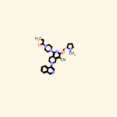 C=CC(=O)N1CCN(c2nc(OC[C@@H]3CCCN3C)c(C#N)c3c2CCN(c2cncc4ccccc24)C3)CC1